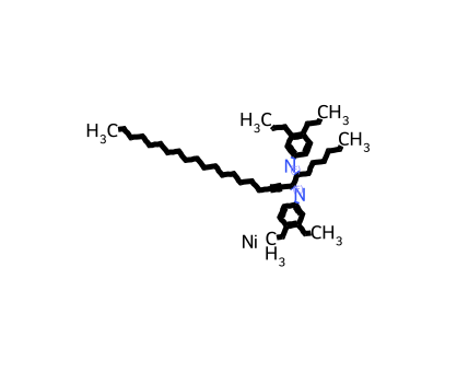 CCCCCCCCCCCCCCCCCC#CC(=N\c1ccc(CC)c(CC)c1)/C(CCCCCC)=N/c1ccc(CCC)c(CCC)c1.[Ni]